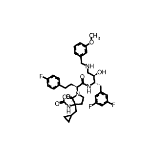 COc1cccc(CNC[C@@H](O)[C@H](Cc2cc(F)cc(F)c2)NC(=O)[C@H](CCc2ccc(F)cc2)N2CCC(CC3CC3)(NC(C)=O)C2=O)c1